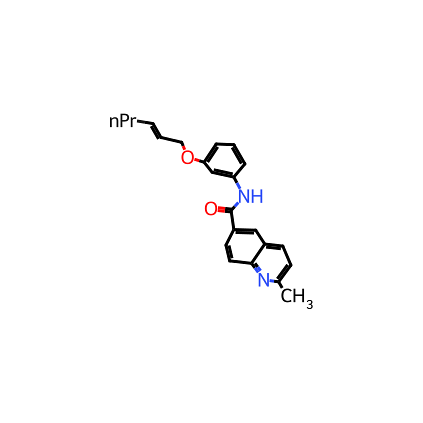 CCCC=CCOc1cccc(NC(=O)c2ccc3nc(C)ccc3c2)c1